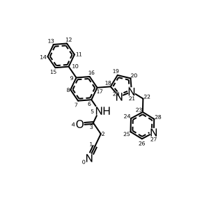 N#CCC(=O)Nc1ccc(-c2ccccc2)cc1-c1ccn(Cc2cccnc2)n1